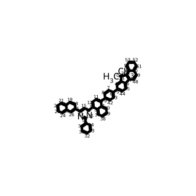 CC1(C)c2cc(-c3ccc(-c4ccc(-c5cc(-c6ccc7ccccc7c6)nc(-c6ccccc6)n5)c5ccccc45)cc3)ccc2-c2ccc3ccccc3c21